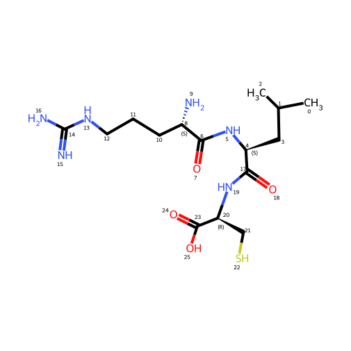 CC(C)C[C@H](NC(=O)[C@@H](N)CCCNC(=N)N)C(=O)N[C@@H](CS)C(=O)O